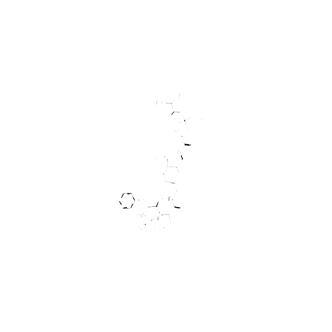 CC(C)C(=O)OC(C)(C)CCC(=O)/N=C/C1CC(CNC(=O)[C@@H]2CCCN2C(=O)[C@@H](Cc2ccccc2)NS(C)(=O)=O)CCN1N